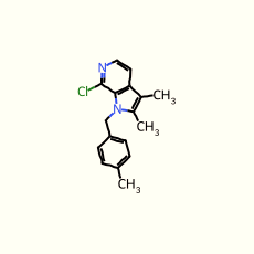 Cc1ccc(Cn2c(C)c(C)c3ccnc(Cl)c32)cc1